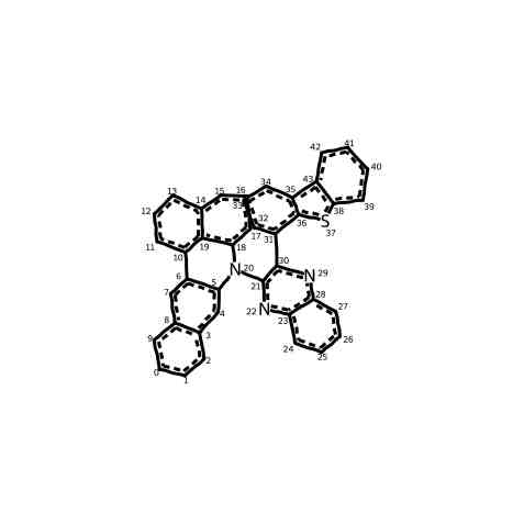 c1ccc2cc3c(cc2c1)-c1cccc2cccc(c12)N3c1nc2ccccc2nc1-c1cccc2c1sc1ccccc12